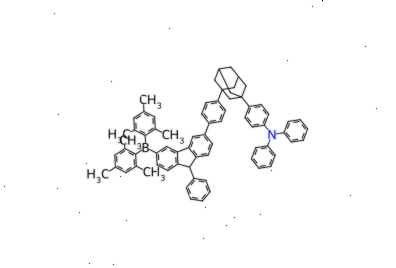 Cc1cc(C)c(B(c2ccc3c(c2)-c2cc(-c4ccc(C56CC7CC(C5)CC(c5ccc(N(c8ccccc8)c8ccccc8)cc5)(C7)C6)cc4)ccc2C3c2ccccc2)c2c(C)cc(C)cc2C)c(C)c1